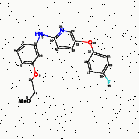 COCCOc1cccc(Nc2ccc(Oc3ccc(F)cc3)cn2)c1